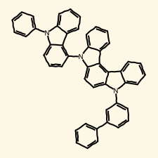 c1ccc(-c2cccc(-n3c4ccccc4c4c5c6ccccc6n(-c6cccc7c6c6ccccc6n7-c6ccccc6)c5ccc43)c2)cc1